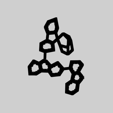 c1ccc2c(c1)-c1ccc(-n3c4ccccc4c4ccc(-c5cccc6sc7ccccc7c56)cc43)cc1C21C2CC3CC(C2)CC1C3